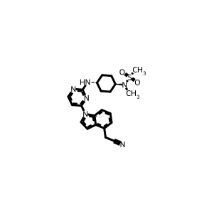 CN([C@H]1CC[C@H](Nc2nccc(-n3ccc4c(CC#N)cccc43)n2)CC1)S(C)(=O)=O